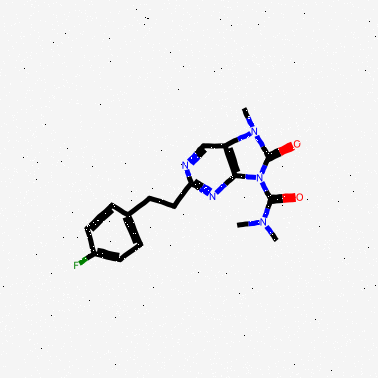 CN(C)C(=O)n1c(=O)n(C)c2cnc(CCc3ccc(F)cc3)nc21